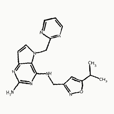 CC(C)c1cc(CNc2nc(N)nc3ccn(Cc4ncccn4)c23)no1